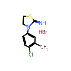 Br.N=C1SCCN1c1ccc(Cl)c(C(F)(F)F)c1